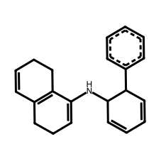 C1=CC(NC2=CCCC3=C2CCC=C3)C(c2ccccc2)C=C1